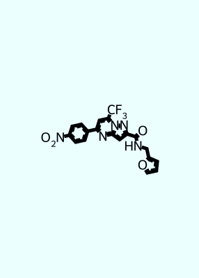 O=C(NCc1ccco1)c1cc2nc(-c3ccc([N+](=O)[O-])cc3)cc(C(F)(F)F)n2n1